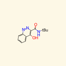 CC(C)(C)NC(=O)c1nnc2ccccc2c1O